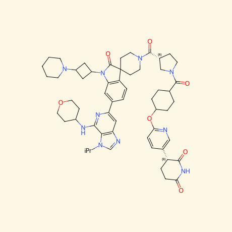 CC(C)n1cnc2cc(-c3ccc4c(c3)N(C3CC(N5CCCCC5)C3)C(=O)C43CCN(C(=O)[C@@H]4CCN(C(=O)C5CCC(Oc6ccc([C@H]7CCC(=O)NC7=O)cn6)CC5)C4)CC3)nc(NC3CCOCC3)c21